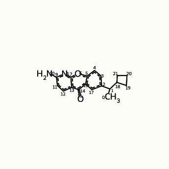 CC(c1ccc2oc3nc(N)ccc3c(=O)c2c1)C1CCC1